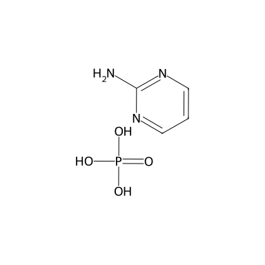 Nc1ncccn1.O=P(O)(O)O